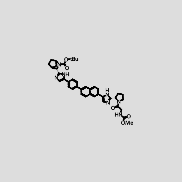 COC(=O)NCC(=O)N1CCC[C@H]1c1ncc(-c2ccc3cc(-c4ccc(-c5cnc([C@@H]6C7CCC(C7)N6C(=O)OC(C)(C)C)[nH]5)cc4)ccc3c2)[nH]1